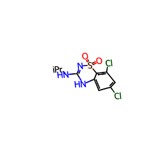 CC(C)NC1=NS(=O)(=O)c2c(Cl)cc(Cl)cc2N1